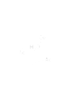 CC(=O)CC(C)=O.O.[Co]